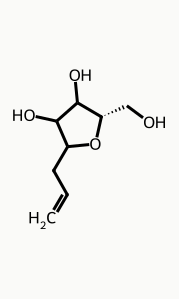 C=CCC1O[C@@H](CO)C(O)C1O